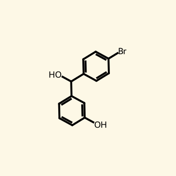 Oc1cccc(C(O)c2ccc(Br)cc2)c1